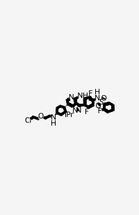 CC(C)n1nc(-c2cc(F)c(NS(=O)(=O)c3ccccc3F)cc2F)c2c(N)ncc([C@H]3CC[C@H](NCCOCCCl)CC3)c21